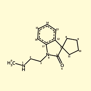 CNCCN1C(=O)C2(CCCC2)c2ccccc21